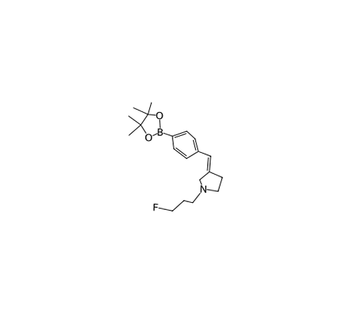 CC1(C)OB(c2ccc(/C=C3/CCN(CCCF)C3)cc2)OC1(C)C